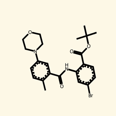 Cc1ccc(N2CCOCC2)cc1C(=O)Nc1cc(Br)ccc1C(=O)OC(C)(C)C